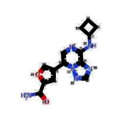 NC(=O)c1cc(-c2cnc(NC3CCC3)c3ncnn23)co1